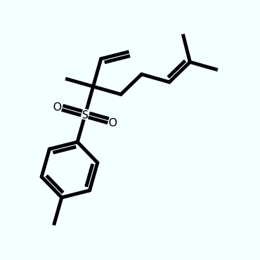 C=CC(C)(CCC=C(C)C)S(=O)(=O)c1ccc(C)cc1